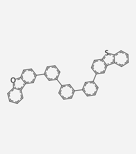 c1cc(-c2cccc(-c3ccc4oc5ccccc5c4c3)c2)cc(-c2cccc(-c3ccc4sc5ccccc5c4c3)c2)c1